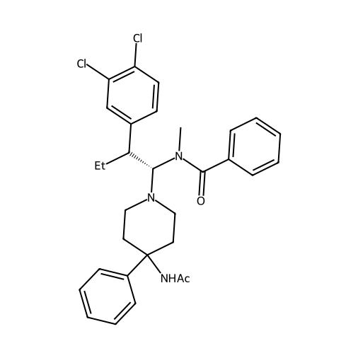 CCC(c1ccc(Cl)c(Cl)c1)[C@@H](N1CCC(NC(C)=O)(c2ccccc2)CC1)N(C)C(=O)c1ccccc1